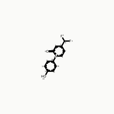 O=c1cc(C(F)F)ccn1-c1ccc(O)cc1